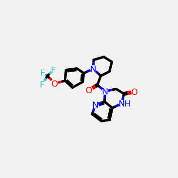 O=C1CN(C(=O)C2CCCCN2c2ccc(OC(F)(F)F)cc2)c2ncccc2N1